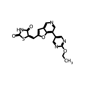 CCOc1ncc(-c2cncc3cc(/C=C4/SC(=O)NC4=O)oc23)cn1